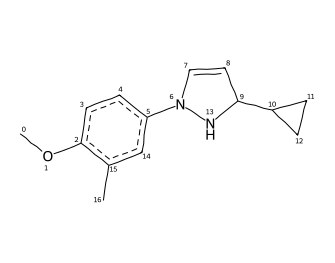 COc1ccc(N2C=CC(C3CC3)N2)cc1C